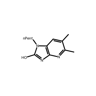 CCCCCn1c(O)nc2nc(C)c(C)cc21